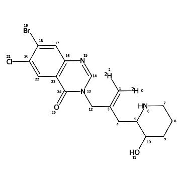 [2H]C([2H])=C(CC1NCCCC1O)Cn1cnc2cc(Br)c(Cl)cc2c1=O